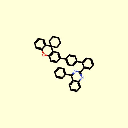 c1ccc(-c2nc(-c3ccccc3-c3ccc(-c4ccc5c(c4)C4(CCCCC4)c4ccccc4O5)cc3)nc3ccccc23)cc1